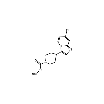 CC(C)(C)OC(=O)N1CCC(c2cnc3cc(Cl)ccn23)CC1